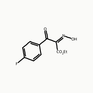 CCOC(=O)/C(=N\O)C(=O)c1ccc(F)cc1